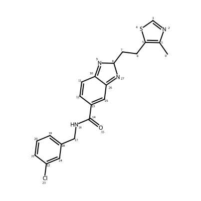 Cc1ncsc1CCC1N=c2ccc(C(=O)NCc3cccc(Cl)c3)cc2=N1